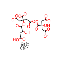 O=C([O-])CC(CC(=O)[O-])(OC(=O)C(O)CC(=O)O)C(=O)[O-].O=C([O-])CC(O)(CC(=O)[O-])C(=O)[O-].[Ca+2].[Ca+2].[Ca+2]